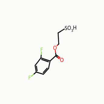 O=C(OCCS(=O)(=O)O)c1ccc(F)cc1F